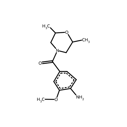 COc1cc(C(=O)N2CC(C)OC(C)C2)ccc1N